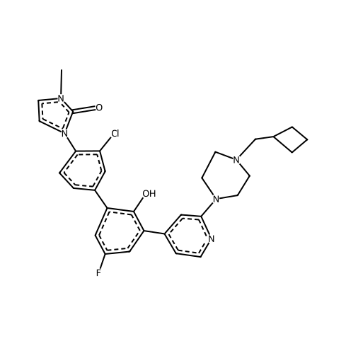 Cn1ccn(-c2ccc(-c3cc(F)cc(-c4ccnc(N5CCN(CC6CCC6)CC5)c4)c3O)cc2Cl)c1=O